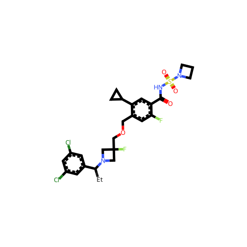 CCC(c1cc(Cl)cc(Cl)c1)N1CC(F)(COCc2cc(F)c(C(=O)NS(=O)(=O)N3CCC3)cc2C2CC2)C1